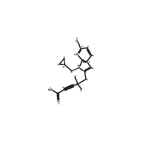 CC(C)(C#CC(=O)O)Cc1cc2ccc(Cl)nc2n1CC1CC1